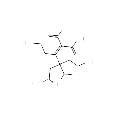 CCCC(=C(C(=O)O)C(=O)O)C(CCC)(CC(C)C)C(C)C